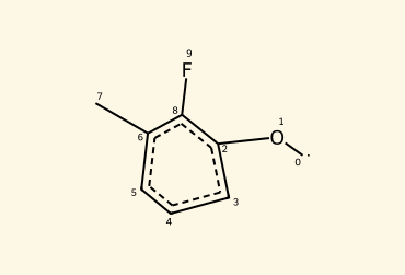 [CH2]Oc1cccc(C)c1F